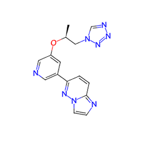 C[C@@H](Cn1cnnn1)Oc1cncc(-c2ccc3nccn3n2)c1